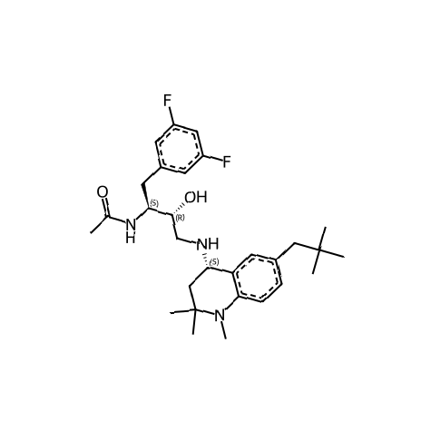 CC(=O)N[C@@H](Cc1cc(F)cc(F)c1)[C@H](O)CN[C@H]1CC(C)(C)N(C)c2ccc(CC(C)(C)C)cc21